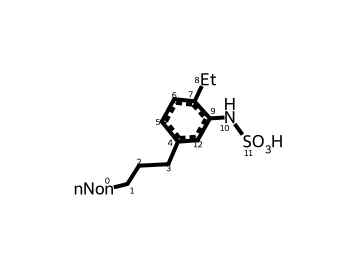 CCCCCCCCCCCCc1ccc(CC)c(NS(=O)(=O)O)c1